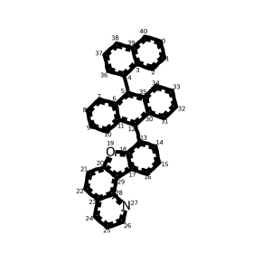 c1ccc2c(-c3c4ccccc4c(-c4cccc5c4oc4ccc6cccnc6c45)c4ccccc34)cccc2c1